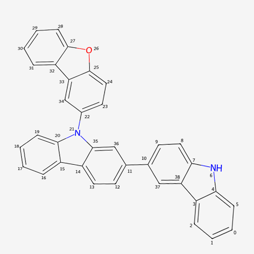 c1ccc2c(c1)[nH]c1ccc(-c3ccc4c5ccccc5n(-c5ccc6oc7ccccc7c6c5)c4c3)cc12